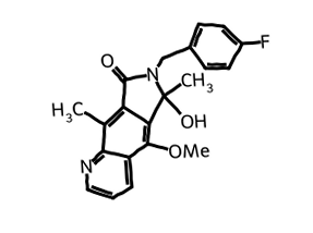 COc1c2c(c(C)c3ncccc13)C(=O)N(Cc1ccc(F)cc1)C2(C)O